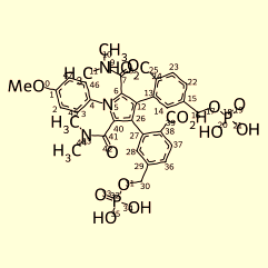 COc1ccc(-n2c(C(=O)N(C)C)c(-c3cc(COP(=O)(O)O)ccc3C(=O)O)c(-c3cc(COP(=O)(O)O)ccc3C(=O)O)c2C(=O)N(C)C)cc1